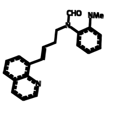 CNc1ccccc1N(C=O)CC/C=C/c1cccc2cccnc12